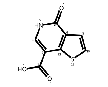 O=C(O)c1c[nH]c(=O)c2ccsc12